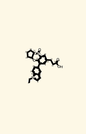 CCn1ccc2cc(-c3cc(CCC(=O)O)cc([N+](=O)[O-])c3OC3CCCC3)ccc21